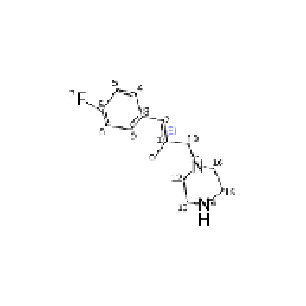 C/C(=C\c1ccc(F)cc1)CN1CCNCC1